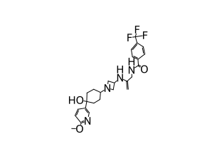 C=C(CNC(=O)c1ccc(C(F)(F)F)cc1)NC1CN(C2CCC(O)(c3ccc(OC)nc3)CC2)C1